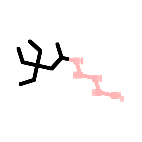 BBBBBC(C)CC(CC)(CC)CC